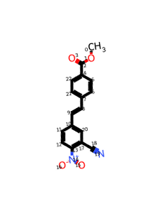 COC(=O)c1ccc(C=Cc2ccc([N+](=O)[O-])c(C#N)c2)cc1